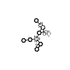 CC1(C)C2=CCC3N=C(c4ccccc4)SC3=C2c2ccc(-c3nc(-c4ccc(-c5ccccc5)cc4)nc(-c4cccc5c4sc4ccccc45)n3)cc21